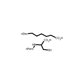 CCCCCCCCCCCCCCCC(=O)O.CCCCCNC(CS)C(=O)O